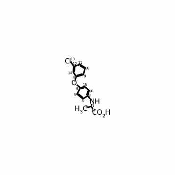 CC(Nc1ccc(Oc2cccc(Cl)c2)cc1)C(=O)O